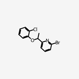 CC(Oc1ccccc1Cl)c1cccc(Br)n1